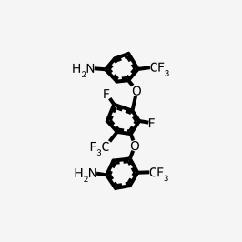 Nc1ccc(C(F)(F)F)c(Oc2c(F)cc(C(F)(F)F)c(Oc3cc(N)ccc3C(F)(F)F)c2F)c1